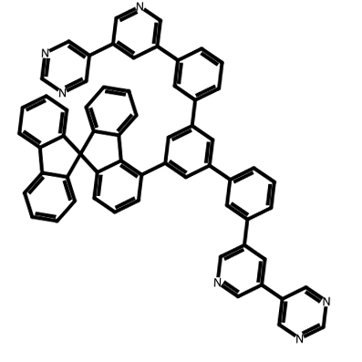 c1cc(-c2cncc(-c3cncnc3)c2)cc(-c2cc(-c3cccc(-c4cncc(-c5cncnc5)c4)c3)cc(-c3cccc4c3-c3ccccc3C43c4ccccc4-c4ccccc43)c2)c1